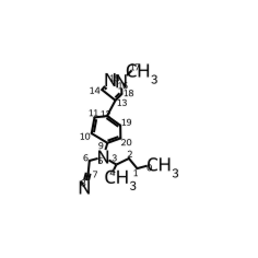 CCCC(C)N(CC#N)c1ccc(-c2cnn(C)c2)cc1